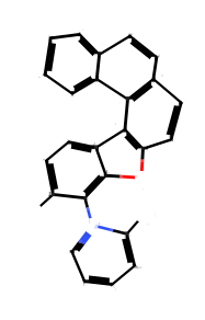 Cc1ccc2c(oc3ccc4ccc5ccccc5c4c32)c1-[n+]1ccccc1C